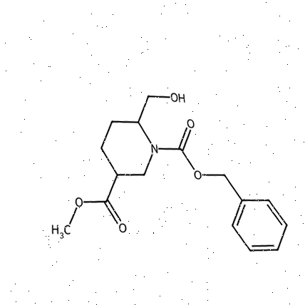 COC(=O)C1CCC(CO)N(C(=O)OCc2ccccc2)C1